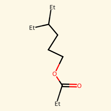 CCC(=O)OCCCC(CC)CC